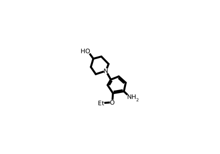 CCOc1cc(N2CCC(O)CC2)ccc1N